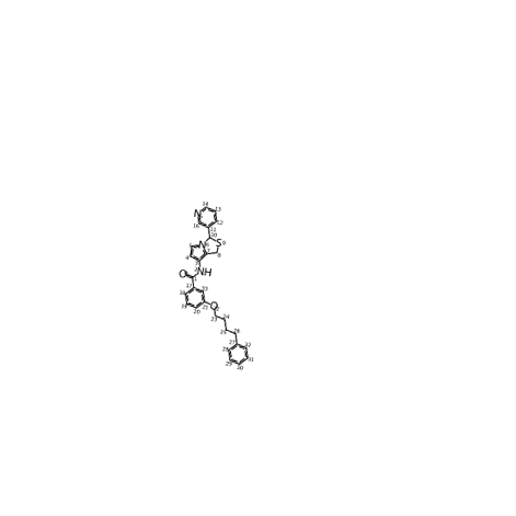 O=C(Nc1ccn2c1CSC2c1cccnc1)c1cccc(OCCCCc2ccccc2)c1